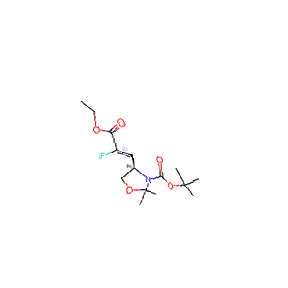 CCOC(=O)/C(F)=C/[C@@H]1COC(C)(C)N1C(=O)OC(C)(C)C